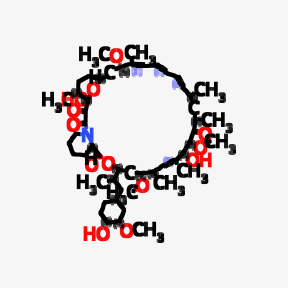 CO[C@H]1C[C@@H]2CC[C@@H](C)[C@@](O)(O2)C(=O)C(=O)N2CCCC[C@H]2C(=O)O[C@H]([C@H](C)C[C@@H]2CC[C@@H](O)[C@H](OC)C2)C[C@@H](OC)[C@H](C)/C=C(\C)[C@@H](O)[C@@H](OC)C(=O)[C@H](C)C[C@H](C)/C=C/C=C/C=C/1C